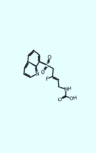 O=C(O)NCC=C(F)CS(=O)(=O)c1cccc2cccnc12